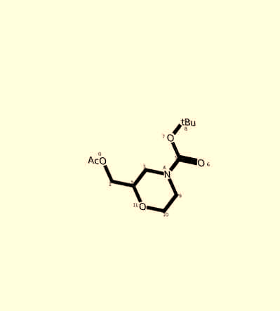 CC(=O)OCC1CN(C(=O)OC(C)(C)C)CCO1